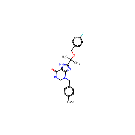 COc1ccc(CN2CNC(=O)c3[nH]c(C(C)(C)OCc4ccc(F)cc4)nc32)cc1